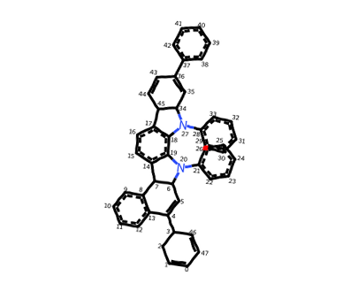 C1=CCC(C2=CC3C(c4ccccc42)c2ccc4c(c2N3c2ccccc2)N(c2ccccc2)C2C=C(c3ccccc3)C=CC42)C=C1